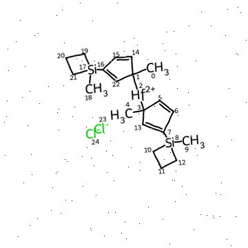 C[C]1([Hf+2][C]2(C)C=CC([Si]3(C)CCC3)=C2)C=CC([Si]2(C)CCC2)=C1.[Cl-].[Cl-]